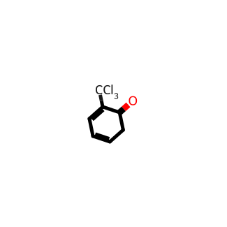 O=C1CC=CC=C1C(Cl)(Cl)Cl